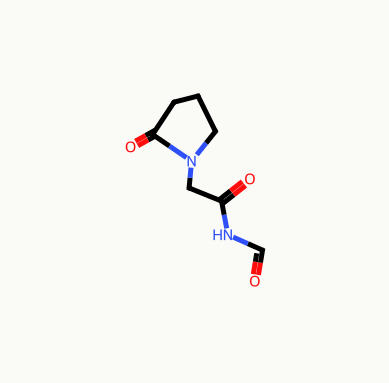 O=CNC(=O)CN1CCCC1=O